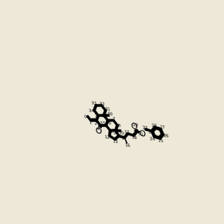 C/C=C1/C(=O)C2C(CCC3(C)C2CCC3[C@H](C)CCC(=O)OCc2ccccc2)C2(C)CCCCC12